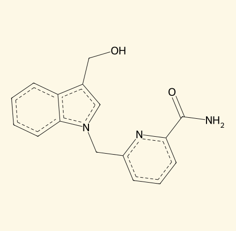 NC(=O)c1cccc(Cn2cc(CO)c3ccccc32)n1